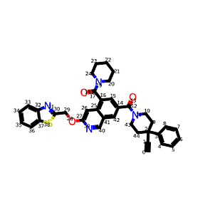 C#CC1(c2ccccc2)CCN(C(=O)c2cc(C(=O)N3CCCCC3)c3cc(OCc4nc5ccccc5s4)ncc3c2)CC1